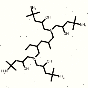 CCC(CC(C)CN(CC(O)CC(C)(C)N)CC(O)CC(C)(C)N)CN(CC(O)CC(C)(C)N)CC(O)CC(C)(C)N